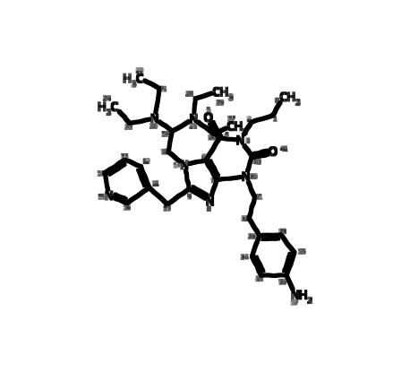 CCCn1c(=O)c2c(nc(Cc3cccnc3)n2CC(N(CC)CC)N(CC)CC)n(CCc2ccc(N)cc2)c1=O